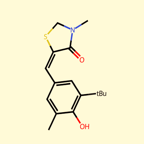 Cc1cc(C=C2SCN(C)C2=O)cc(C(C)(C)C)c1O